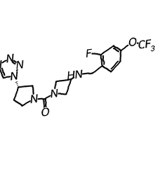 O=C(N1CC(NCc2ccc(OC(F)(F)F)cc2F)C1)N1CC[C@H](n2cnnn2)C1